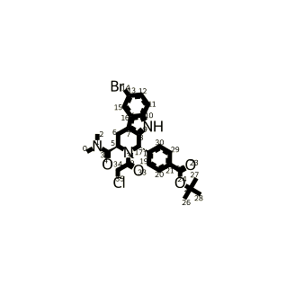 CN(C)C(=O)[C@H]1Cc2c([nH]c3ccc(Br)cc23)[C@H](c2ccc(C(=O)OC(C)(C)C)cc2)N1C(=O)CCl